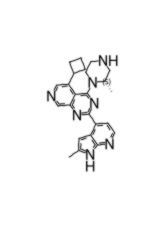 Cc1cc2c(-c3nc(N4CCNC[C@@H]4C)c4c(C5CCC5)cncc4n3)ccnc2[nH]1